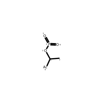 CC(=O)C(C)OP(=O)=O